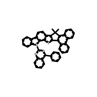 CC1(C)c2c(c3ccccc3c3ccccc23)-c2sc3c(ccc4c5ccccc5n(-c5nc(-c6ccccc6)c6ccccc6n5)c43)c21